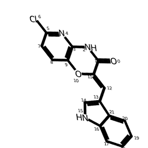 O=C1Nc2nc(Cl)ccc2O/C1=C\c1c[nH]c2ccccc12